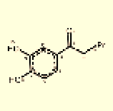 CC(C)CC(=O)c1ccc(O)c(O)c1